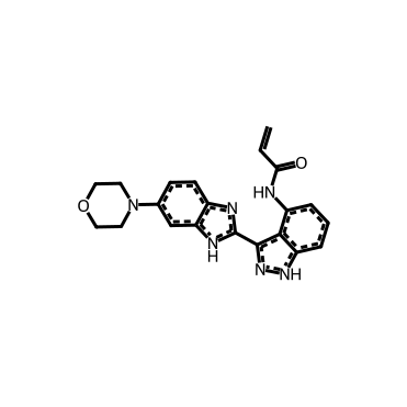 C=CC(=O)Nc1cccc2[nH]nc(-c3nc4ccc(N5CCOCC5)cc4[nH]3)c12